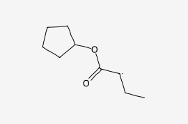 CC[CH]C(=O)OC1CCCC1